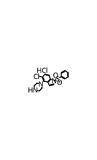 Cl.O=S(=O)(c1ccccc1)n1ccc2c(N3CCNCC3)c(Cl)ccc21